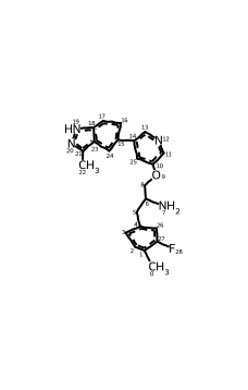 Cc1ccc(CC(N)COc2cncc(-c3ccc4[nH]nc(C)c4c3)c2)cc1F